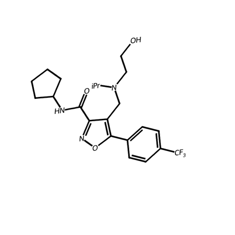 CC(C)N(CCO)Cc1c(C(=O)NC2CCCC2)noc1-c1ccc(C(F)(F)F)cc1